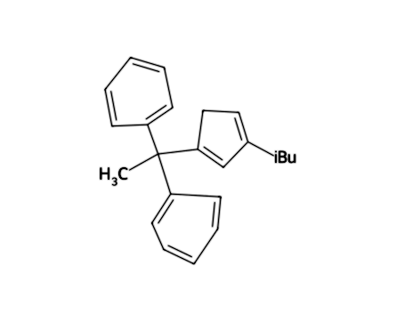 CCC(C)C1=CCC(C(C)(c2ccccc2)c2ccccc2)=C1